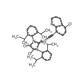 CC(C)c1cccc(C(C)C)c1-n1c(Cl)c(Cl)n(-c2c(C(C)C)cccc2C(C)C)[c]1=[Au][C]#Cc1ccc(Cl)c2cccnc12